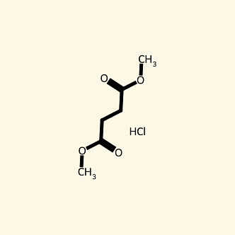 COC(=O)CCC(=O)OC.Cl